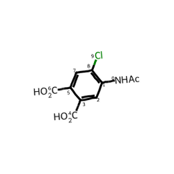 CC(=O)Nc1cc(C(=O)O)c(C(=O)O)cc1Cl